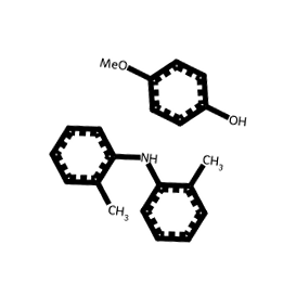 COc1ccc(O)cc1.Cc1ccccc1Nc1ccccc1C